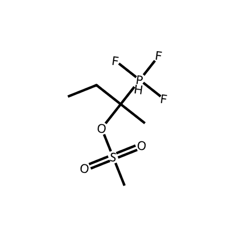 CCC(C)(OS(C)(=O)=O)[PH](F)(F)F